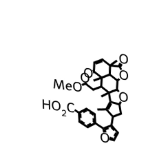 COC(=O)CC1C2(C)C3=C(C)C(c4ccoc4-c4ccc(C(=O)O)cc4)CC3OC2C2OC(=O)C3(C)C=CC(=O)C1(C)C23